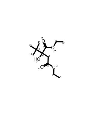 CCOC(=O)CC(O)(C(=O)OCC)C(C)(C)C